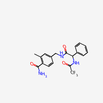 Cc1cc(CNC(=O)C(NC(=O)C(F)(F)F)c2ccccc2)ccc1C(N)=O